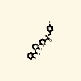 O=C(NCc1ccc(F)cc1)c1ccc(N2CCCN(C(=O)c3ccccc3F)C2=O)nn1